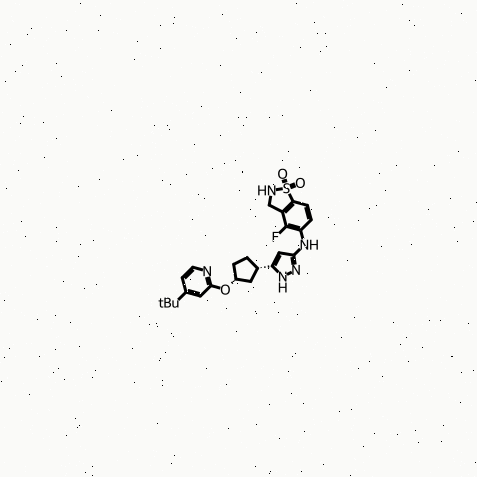 CC(C)(C)c1ccnc(O[C@@H]2CC[C@H](c3cc(Nc4ccc5c(c4F)CNS5(=O)=O)n[nH]3)C2)c1